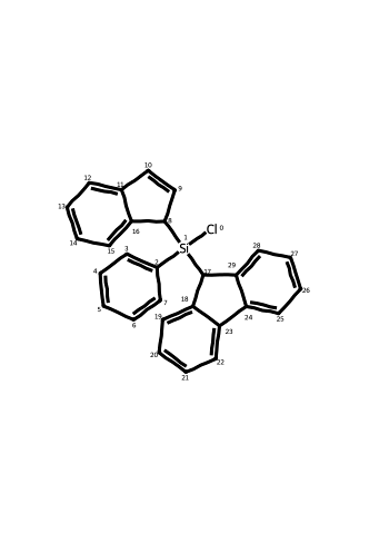 Cl[Si](c1ccccc1)(C1C=Cc2ccccc21)C1c2ccccc2-c2ccccc21